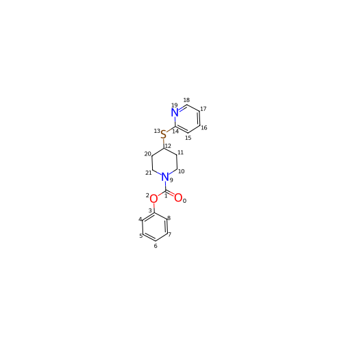 O=C(Oc1ccccc1)N1CCC(Sc2ccccn2)CC1